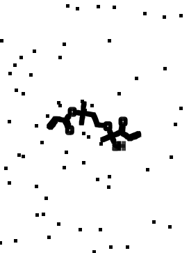 C=CC(=O)OC(C)(C)CCOC(C)(S)C(=O)C=C